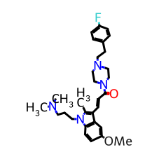 COc1ccc2c(c1)c(/C=C/C(=O)N1CCN(CCc3ccc(F)cc3)CC1)c(C)n2CCCN(C)C